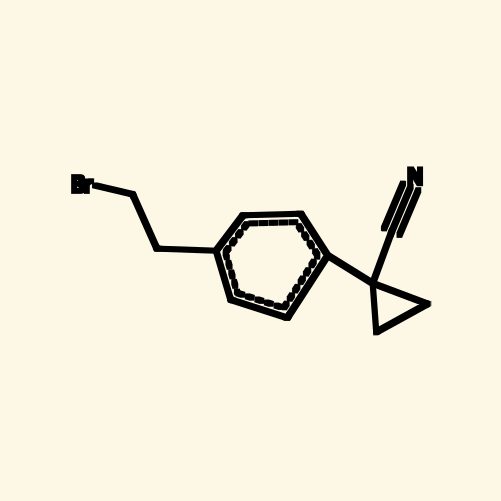 N#CC1(c2ccc(CCBr)cc2)CC1